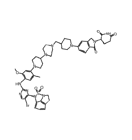 COc1cc(N2CCC(N3CCN(CC4CCN(c5ccc6c(c5)CN(C5CCC(=O)NC5=O)C6=O)CC4)CC3)CC2)c(C)cc1Nc1ncc(Br)c(N2c3cccc4c3N(CC4)S2(=O)=O)n1